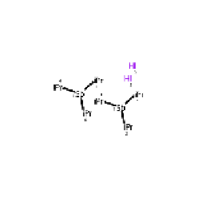 C[CH](C)[Sb]([CH](C)C)[CH](C)C.C[CH](C)[Sb]([CH](C)C)[CH](C)C.I.I